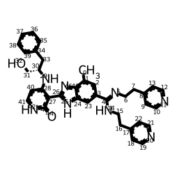 Cc1cc(/C(=N/CCc2ccncc2)NCCc2ccncc2)cc2[nH]c(-c3c(N[C@H](CO)Cc4ccccc4)cc[nH]c3=O)nc12